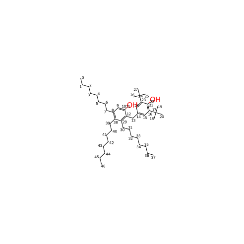 CCCCCCCCc1cc(O)c(Cc2cc(C(C)(C)C)c(O)c(C(C)(C)C)c2)c(CCCCCCCC)c1CCCCCCCC